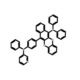 c1ccc(N(c2ccc(-c3c4c(c(N(c5ccccc5)c5ccccc5)c5ccccc35)Oc3ccccc3O4)cc2)c2cccnc2)cc1